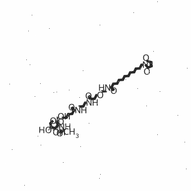 CC(=O)N[C@@H]1[C@@H](O)[C@H](O)CO[C@]1(CO)OCCCCC(=O)NCCCNC(=O)CCOCCNC(=O)CCCCCCCCCCCN1C(=O)C=CC1=O